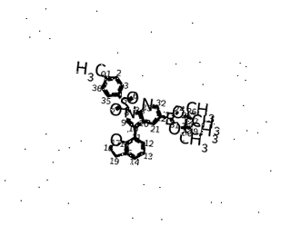 Cc1ccc(S(=O)(=O)n2cc(-c3cccc4c3OCC4)c3cc(B4OC(C)(C)C(C)(C)O4)cnc32)cc1